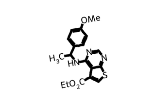 CCOC(=O)c1csc2ncnc(NC(C)c3ccc(OC)cc3)c12